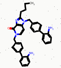 CCCCc1nc2c(=O)n(Cc3ccc(-c4ccccc4N)cc3)ccc2n1Cc1ccc(-c2ccccc2N)cc1